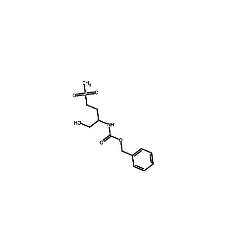 CS(=O)(=O)CCC(CO)NC(=O)OCc1ccccc1